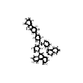 c1cc(-c2cccc3ccccc23)cc(N(c2ccc(-c3ccc4c(c3)oc3ccccc34)cc2)c2cccc(-c3cc4ccccc4c4ccccc34)c2)c1